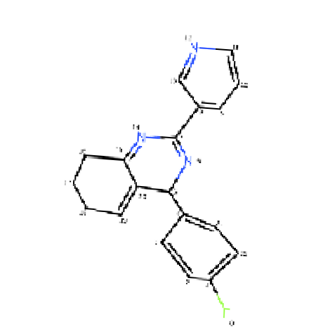 Fc1ccc(C2N=C(c3cccnc3)N=C3CCCC=C32)cc1